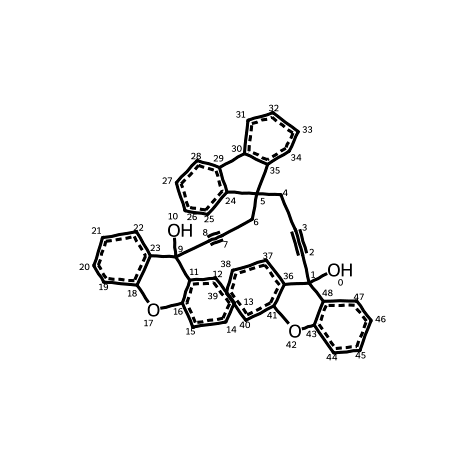 OC1(C#CCC2(CC#CC3(O)c4ccccc4Oc4ccccc43)c3ccccc3-c3ccccc32)c2ccccc2Oc2ccccc21